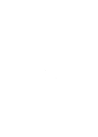 O=C(COc1ccccc1)O/N=C/Cc1cccc2ccccc12